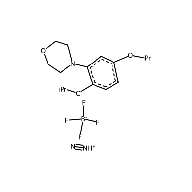 CC(C)Oc1ccc(OC(C)C)c(N2CCOCC2)c1.F[B-](F)(F)F.N#[NH+]